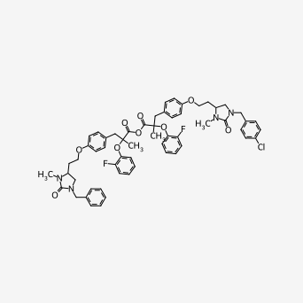 CN1C(=O)N(Cc2ccccc2)CC1CCOc1ccc(CC(C)(Oc2ccccc2F)C(=O)OC(=O)C(C)(Cc2ccc(OCCC3CN(Cc4ccc(Cl)cc4)C(=O)N3C)cc2)Oc2ccccc2F)cc1